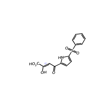 O=C(O)/C(O)=C/C(=O)c1ccc(S(=O)(=O)c2ccccc2)[nH]1